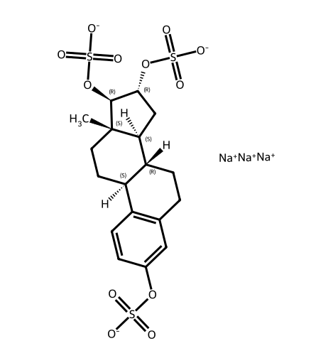 C[C@]12CC[C@@H]3c4ccc(OS(=O)(=O)[O-])cc4CC[C@H]3[C@@H]1C[C@@H](OS(=O)(=O)[O-])[C@@H]2OS(=O)(=O)[O-].[Na+].[Na+].[Na+]